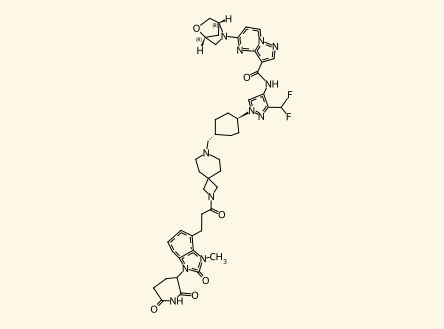 Cn1c(=O)n(C2CCC(=O)NC2=O)c2cccc(CCC(=O)N3CC4(CCN(C[C@H]5CC[C@H](n6cc(NC(=O)c7cnn8ccc(N9C[C@H]%10C[C@@H]9CO%10)nc78)c(C(F)F)n6)CC5)CC4)C3)c21